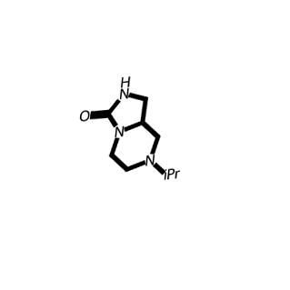 CC(C)N1CCN2C(=O)NCC2C1